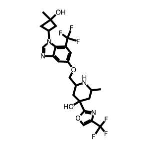 CC1CC(O)(c2nc(C(F)(F)F)co2)CC(COc2cc(C(F)(F)F)c3c(c2)ncn3C2CC(C)(O)C2)N1